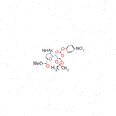 COC(=O)C1=CC[C@@H](NC(C)=O)[C@H]([C@H](OC(=O)Oc2ccc([N+](=O)[O-])cc2)[C@H]2COC(C)(C)O2)O1